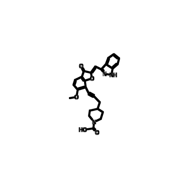 COc1ccc2c(c1C#CCC1CCN(C(=O)O)CC1)OC(=Cc1n[nH]c3ccccc13)C2=O